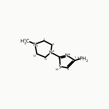 CN1CCN(c2nc(P)cs2)CC1